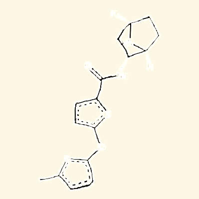 Cc1ccc(Oc2ccc(C(=O)N[C@@H]3C[C@H]4CC[C@@H]3N4)s2)o1